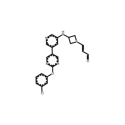 O=CC=CN1CC(Nc2cncc(-c3cnc(Oc4cccc(Cl)c4)nc3)c2)C1